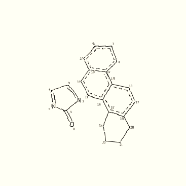 O=C1N=CC=N1.c1ccc2c(c1)ccc1c3c(ccc12)CCCC3